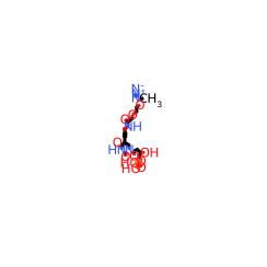 CC(N=[N+]=[N-])OCCOCC(=O)NCC#Cc1cn(C2CC(O)C(OP(=O)(O)O)O2)c(=O)[nH]c1=O